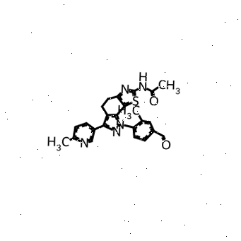 CC(=O)Nc1nc2c(s1)-c1c(c(-c3ccc(C)nc3)nn1-c1ccc(C=O)cc1C)CC2